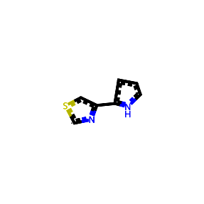 [c]1nc(-c2ccc[nH]2)cs1